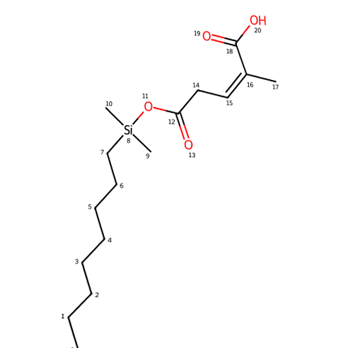 CCCCCCCC[Si](C)(C)OC(=O)CC=C(C)C(=O)O